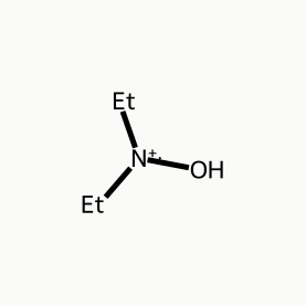 [CH2]C[N+](O)CC